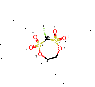 O=S1(=O)OCCOS(=O)(=O)C1F